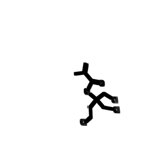 C=C(C)C(=O)OC([CH]CCl)(CCl)CCl